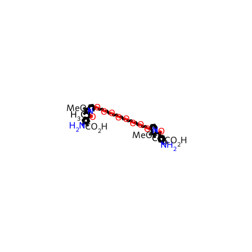 COc1c(C)c(C(=O)c2ccc(N)c(C(=O)O)c2)n2cc(OCCOCCOCCOCCOCCOCCOCCOc3cccn4c(C(=O)c5ccc(N)c(C(=O)O)c5)c(C)c(OC)c34)ccc12